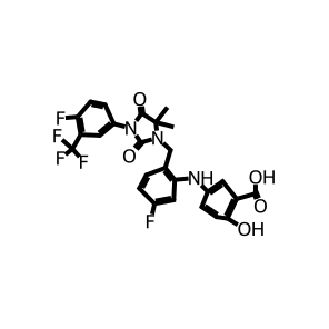 CC1(C)C(=O)N(c2ccc(F)c(C(F)(F)F)c2)C(=O)N1Cc1ccc(F)cc1Nc1ccc(O)c(C(=O)O)c1